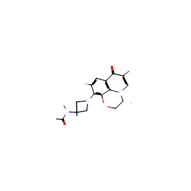 C[C@@H]1COc2c(N3CC(C)(N(C)C(=O)C(F)(F)F)C3)c(F)cc3c(=O)c(C(=O)O)cn1c23